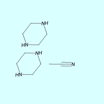 C1CNCCN1.C1CNCCN1.CC#N